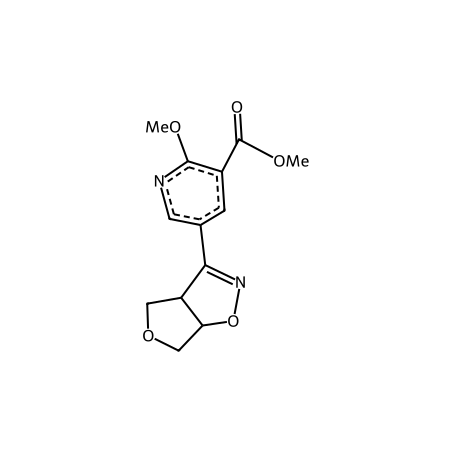 COC(=O)c1cc(C2=NOC3COCC23)cnc1OC